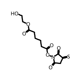 O=C(CCCCC(=O)ON1C(=O)CC(=S)C1=O)OCCO